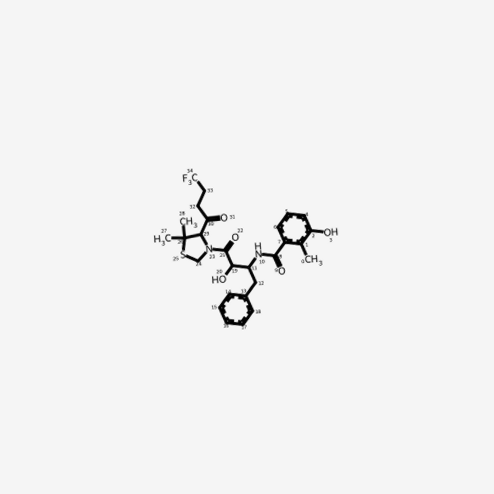 Cc1c(O)cccc1C(=O)NC(Cc1ccccc1)C(O)C(=O)N1CSC(C)(C)C1C(=O)CCC(F)(F)F